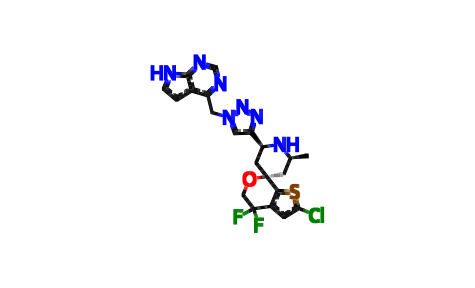 C[C@H]1C[C@@]2(C[C@@H](c3cn(Cc4ncnc5[nH]ccc45)nn3)N1)OCC(F)(F)c1cc(Cl)sc12